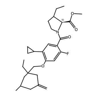 C=C1CC(C)CC(CC)(COc2cc(F)c(C(=O)N3CCC(CC)[C@H]3C(=O)OC)cc2C2CC2)C1